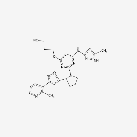 Cc1cc(Nc2cc(OCCCC#N)nc(N3CCCC3c3cc(-c4cccnc4C)no3)n2)n[nH]1